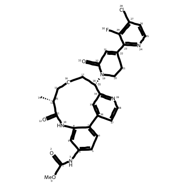 COC(=O)Nc1ccc2c(c1)NC(=O)[C@H](C)CCC[C@H](N1CCC(c3nccc(Cl)c3F)=CC1=O)c1cc-2ccn1